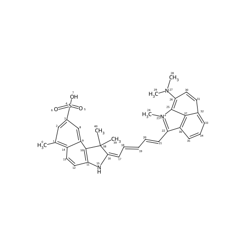 Cc1cc(S(=O)(=O)O)cc2c3c(ccc12)N/C(=C/C=C/C=C/C1=[N+](C)c2c(N(C)C)ccc4cccc1c24)C3(C)C